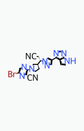 N#CC[C@@H]([C@H]1CCN(c2ncc(Br)nc2C#N)C1)n1cc(-c2ncnc3[nH]ccc23)cn1